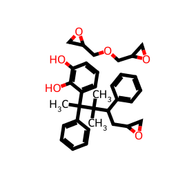 C(OCC1CO1)C1CO1.CC(c1ccccc1)(c1cccc(O)c1O)C(C)(C)C(CC1CO1)c1ccccc1